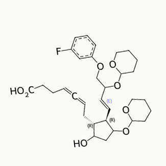 O=C(O)CCC=C=CC[C@H]1C(O)CC(OC2CCCCO2)[C@@H]1/C=C/C(COc1cccc(F)c1)OC1CCCCO1